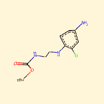 CC(C)(C)OC(=O)NCCNc1ccc(N)cc1Cl